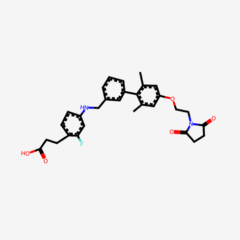 Cc1cc(OCCN2C(=O)CCC2=O)cc(C)c1-c1cccc(CNc2ccc(CCC(=O)O)c(F)c2)c1